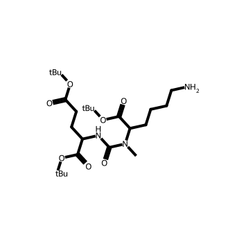 CN(C(=O)NC(CCC(=O)OC(C)(C)C)C(=O)OC(C)(C)C)C(CCCCN)C(=O)OC(C)(C)C